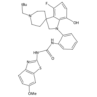 COc1ccc2nc(NC(=O)Nc3ccccc3N3CC4(CCN(CC(C)(C)C)CC4)c4c(F)ccc(O)c43)sc2c1